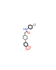 O=C(CC1CCC(c2ccc3c(c2)OCO3)CC1)Nc1ccc(Cl)cc1